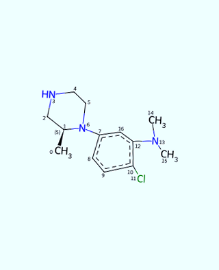 C[C@H]1CNCCN1c1ccc(Cl)c(N(C)C)c1